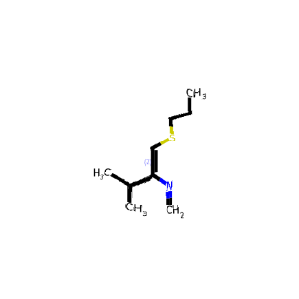 C=N/C(=C\SCCC)C(C)C